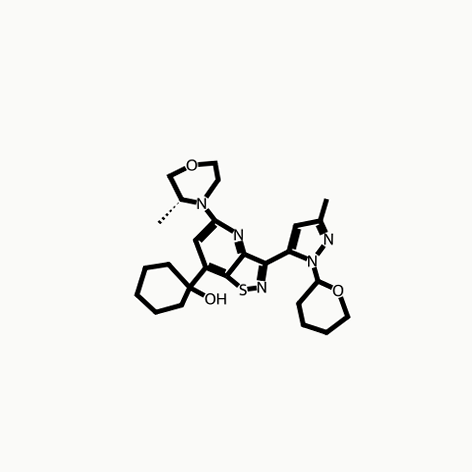 Cc1cc(-c2nsc3c(C4(O)CCCCC4)cc(N4CCOC[C@H]4C)nc23)n(C2CCCCO2)n1